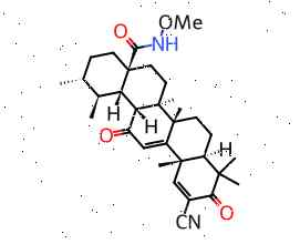 CONC(=O)[C@]12CC[C@@H](C)[C@H](C)[C@H]1[C@H]1C(=O)C=C3[C@@]4(C)C=C(C#N)C(=O)C(C)(C)[C@@H]4CC[C@@]3(C)[C@]1(C)CC2